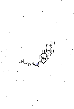 C/C(C=NOCCN(C)C)=C\[C@H]1CC[C@]2(O)[C@@H]3CC[C@@H]4C[C@@H](O)CC[C@]4(C)[C@H]3CC[C@]12C